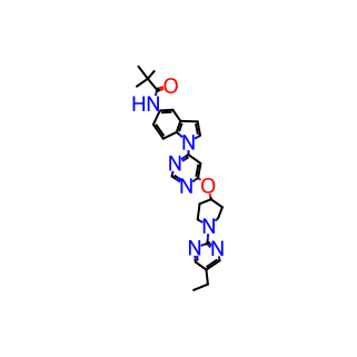 CCc1cnc(N2CCC(Oc3cc(-n4ccc5cc(NC(=O)C(C)(C)C)ccc54)ncn3)CC2)nc1